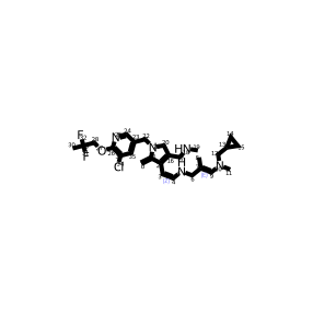 C=C1C(/C=C\NC/C(C)=C/N(C)CC2CC2)=C(CNC)CN1Cc1cnc(OCC(C)(F)F)c(Cl)c1